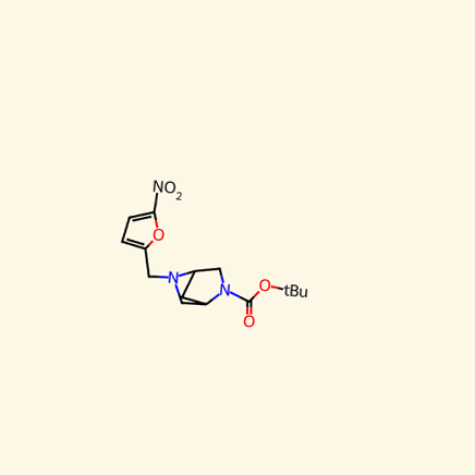 CC(C)(C)OC(=O)N1CC2CC1CN2Cc1ccc([N+](=O)[O-])o1